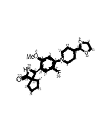 COc1cc(N2CCC(C3OCCO3)CC2)c(F)cc1[C@@H]1NC(=O)C12CCCC2